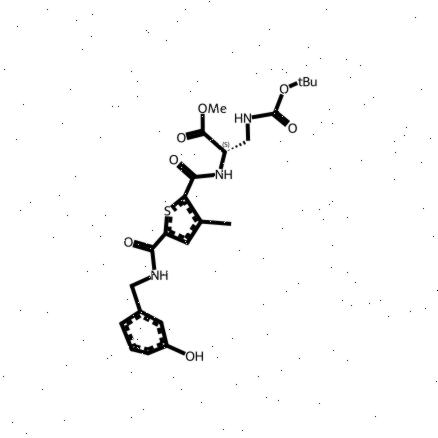 COC(=O)[C@H](CNC(=O)OC(C)(C)C)NC(=O)c1sc(C(=O)NCc2cccc(O)c2)cc1C